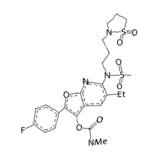 CCc1cc2c(OC(=O)NC)c(-c3ccc(F)cc3)oc2nc1N(CCCN1CCCS1(=O)=O)S(C)(=O)=O